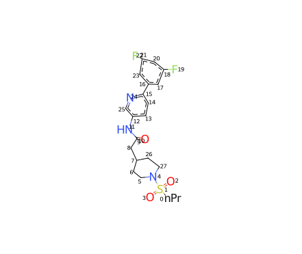 CCCS(=O)(=O)N1CCC(CC(=O)Nc2ccc(-c3cc(F)cc(F)c3)nc2)CC1